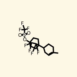 CC1=CCC(C23CCC(OS(=O)(=O)C(F)(F)F)(CC2)C(F)(F)C3(F)F)CC1